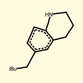 CCC(C)Cc1ccc2c(c1)CCCN2